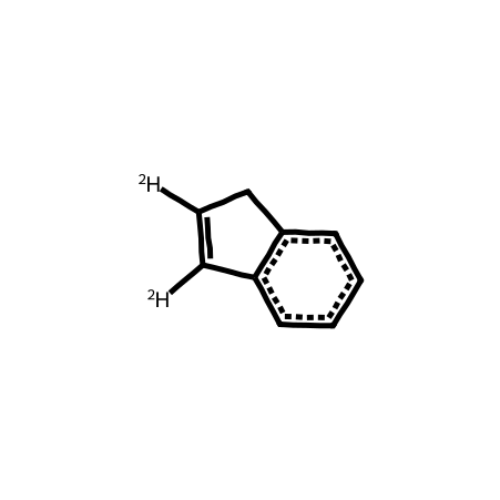 [2H]C1=C([2H])c2ccccc2C1